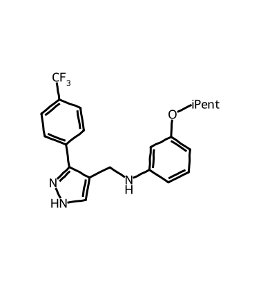 CCCC(C)Oc1cccc(NCc2c[nH]nc2-c2ccc(C(F)(F)F)cc2)c1